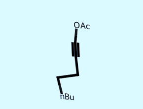 CCCCCCC#COC(C)=O